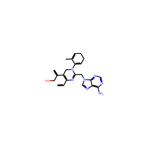 C=CC1=C(C(=C)CO)CN(C2=CCCC=C2C)C(Cn2cnc3c(N)ncnc32)=N1